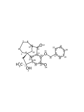 C[C@]1(O)C[C@@]23CCCCN(C2)C(=O)c2c(OCc4ccccc4)c(=O)cc1n23